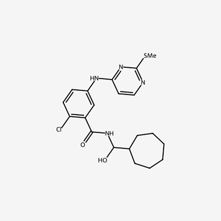 CSc1nccc(Nc2ccc(Cl)c(C(=O)NC(O)C3CCCCCC3)c2)n1